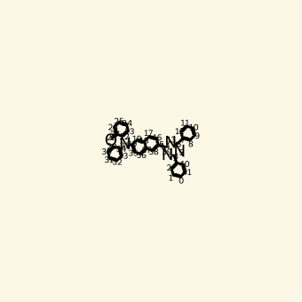 c1ccc(-c2nc(-c3ccccc3)nc(-c3ccc4cc(N5c6ccccc6Oc6ccccc65)ccc4c3)n2)cc1